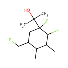 CC1C(CF)CC(F)(C(O)(C(F)(F)F)C(F)(F)F)C(F)C1C